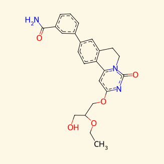 CCOC(CO)COc1cc2n(c(=O)n1)CCc1cc(-c3cccc(C(N)=O)c3)ccc1-2